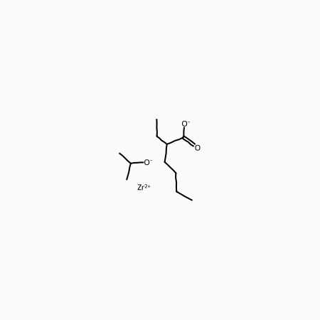 CC(C)[O-].CCCCC(CC)C(=O)[O-].[Zr+2]